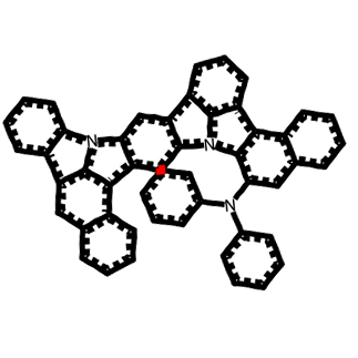 c1ccc(N(c2ccccc2)c2cc3ccccc3c3c4cccc5c6cc7c(cc6n(c23)c54)c2c3ccccc3cc3c4ccccc4n7c32)cc1